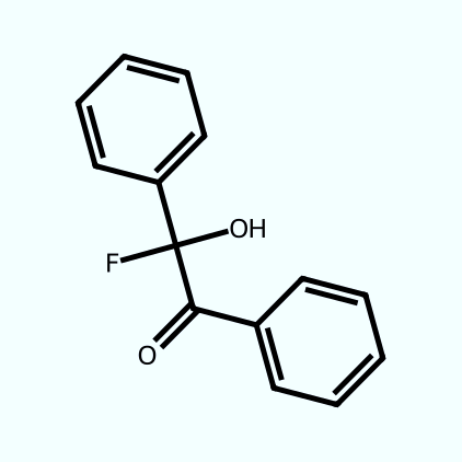 O=C(c1ccccc1)C(O)(F)c1ccccc1